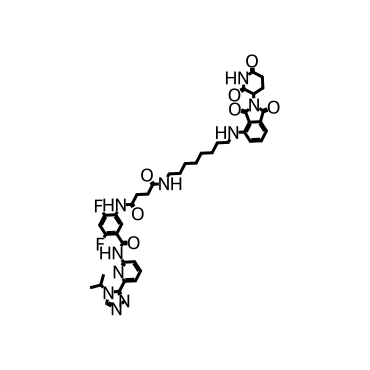 CC(C)n1cnnc1-c1cccc(NC(=O)c2cc(NC(=O)CCC(=O)NCCCCCCCCNc3cccc4c3C(=O)N(C3CCC(=O)NC3=O)C4=O)c(F)cc2F)n1